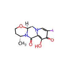 C[C@@H]1CCO[C@H]2Cn3cc(I)c(=O)c(O)c3C(=O)N12